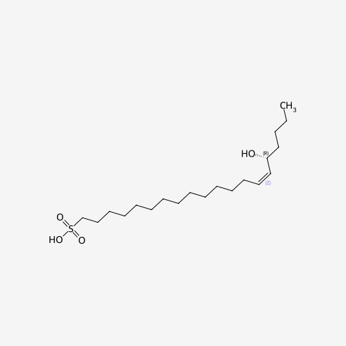 CCCC[C@@H](O)/C=C\CCCCCCCCCCCCCS(=O)(=O)O